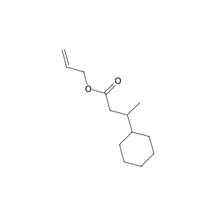 C=CCOC(=O)CC(C)C1CCCCC1